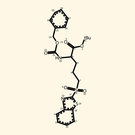 CC(C)(C)OC(=O)C(CCCS(=O)(=O)c1nc2ccccc2s1)NC(=O)OCc1ccccc1